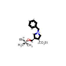 CCOC(=O)[C@H]1CN(Cc2ccccc2)C[C@@H]1CO[Si](C)(C)C(C)(C)C